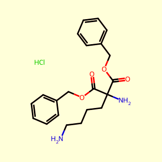 Cl.NCCCCC(N)(C(=O)OCc1ccccc1)C(=O)OCc1ccccc1